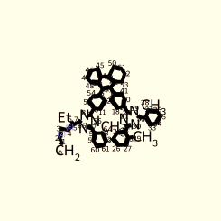 C=C/C=C\C=C(/CC)c1nc(-c2ccc(-c3c(-c4ccc(-c5nc(-c6ccccc6C)nc(-c6ccccc6C)n5)cc4)c4c(c5ccccc35)C=CCC4)cc2)nc(-c2ccccc2C)n1